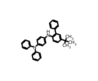 CC(C)(C)c1ccc(Nc2ccc(N(c3ccccc3)c3ccccc3)cc2)c(-c2ccccc2)c1